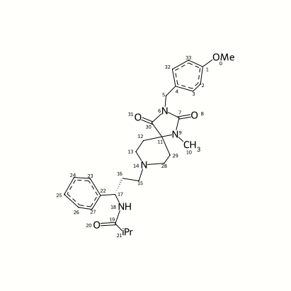 COc1ccc(CN2C(=O)N(C)C3(CCN(CC[C@H](NC(=O)C(C)C)c4ccccc4)CC3)C2=O)cc1